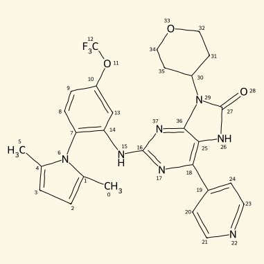 Cc1ccc(C)n1-c1ccc(OC(F)(F)F)cc1Nc1nc(-c2ccncc2)c2[nH]c(=O)n(C3CCOCC3)c2n1